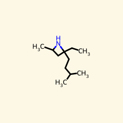 CCC1(CCC(C)C)CC(C)N1